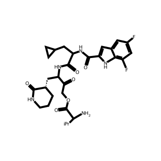 CC(C)C(N)C(=O)OCC(=O)C(C[C@@H]1CCCNC1=O)NC(=O)C(CC1CC1)NC(=O)c1cc2cc(F)cc(F)c2[nH]1